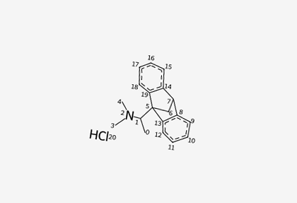 CC(N(C)C)C12CC(c3ccccc31)c1ccccc12.Cl